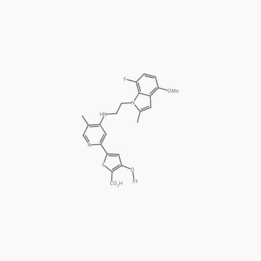 CCOc1cc(-c2cc(NCCn3c(C)cc4c(OC)ccc(F)c43)c(C)cn2)sc1C(=O)O